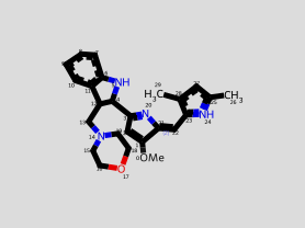 COC1=CC(C2Nc3ccccc3C2CN2CCOCC2)=N/C1=C\c1[nH]c(C)cc1C